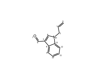 C=CCn1cc(C=O)c2ccccc21